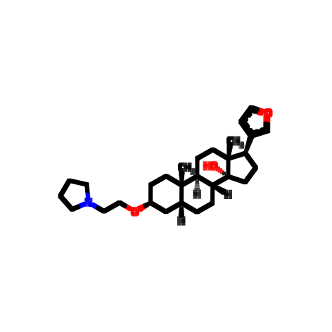 C[C@]12CC[C@H](OCCN3CCCC3)C[C@H]1CC[C@@H]1[C@@H]2CC[C@]2(C)[C@@H](c3ccoc3)CC[C@@]12O